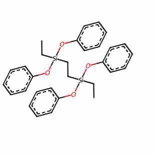 CC[Si](CC[Si](CC)(Oc1ccccc1)Oc1ccccc1)(Oc1ccccc1)Oc1ccccc1